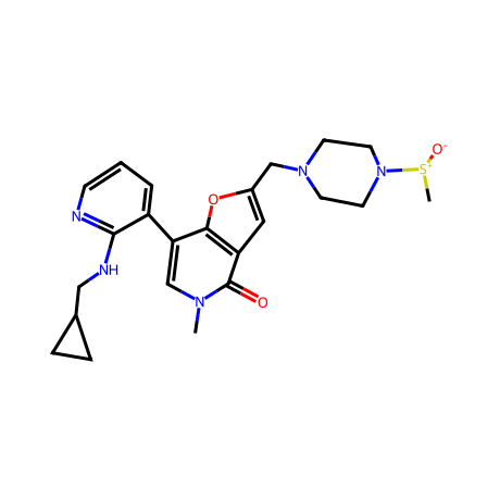 Cn1cc(-c2cccnc2NCC2CC2)c2oc(CN3CCN([S+](C)[O-])CC3)cc2c1=O